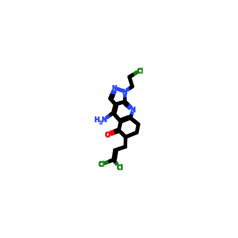 Nc1c2c(nc3c1cnn3CCCl)CCC(CC=C(Cl)Cl)C2=O